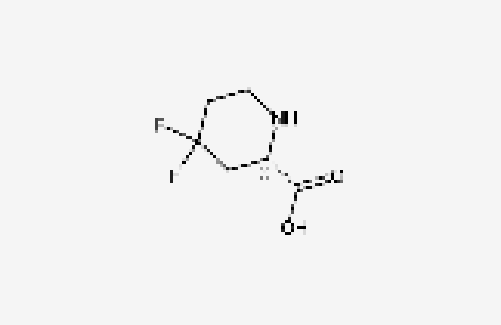 O=C(O)[C@@H]1CC(F)(F)CCN1